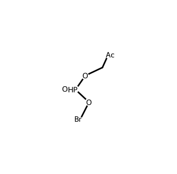 CC(=O)CO[PH](=O)OBr